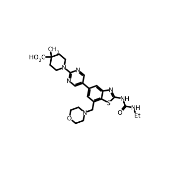 CCNC(=O)Nc1nc2cc(-c3cnc(N4CCC(C)(C(=O)O)CC4)nc3)cc(CN3CCOCC3)c2s1